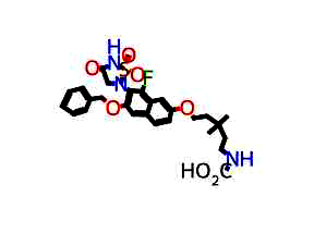 CC(C)(CCNC(=O)O)CCOc1ccc2cc(OCc3ccccc3)c(N3CC(=O)NS3(=O)=O)c(F)c2c1